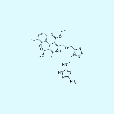 CCOC(=O)C1=C(COCc2nnnn2CCNc2nc(N)n[nH]2)NC(C)=C(C(=O)OC)C1c1cccc(Cl)c1Cl